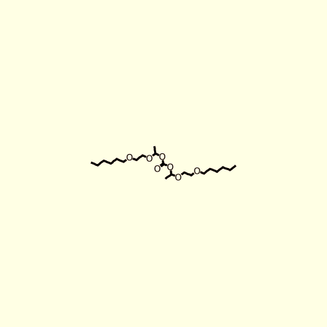 CCCCCCOCCOC(C)OC(=O)OC(C)OCCOCCCCCC